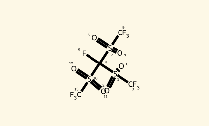 O=S(=O)(C(F)(F)F)C(F)(S(=O)(=O)C(F)(F)F)S(=O)(=O)C(F)(F)F